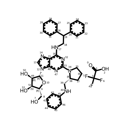 O=C(O)C(F)(F)F.OC[C@H]1O[C@@H](n2cnc3c(NCC(c4ccccc4)c4ccccc4)nc(N4CCC[C@@H]4CNc4ccccc4)nc32)[C@H](O)[C@@H]1O